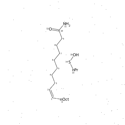 CCCCCCCC/C=C\CCCCCCCC(N)=O.CCCSO